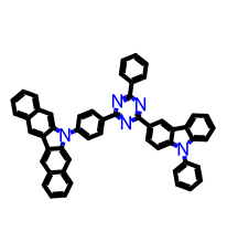 c1ccc(-c2nc(-c3ccc(-n4c5cc6ccccc6cc5c5cc6ccccc6cc54)cc3)nc(-c3ccc4c(c3)c3ccccc3n4-c3ccccc3)n2)cc1